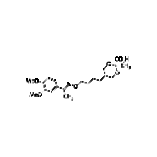 COc1ccc(C(C)=NOCCCCC2COC(C)(C(=O)O)OC2)cc1OC